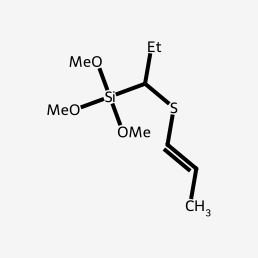 CC=CSC(CC)[Si](OC)(OC)OC